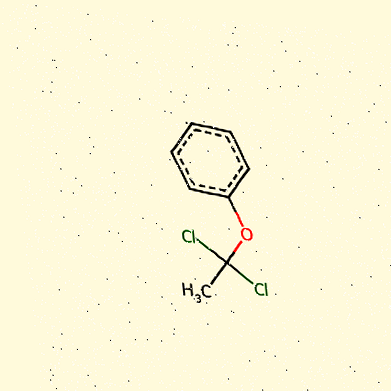 CC(Cl)(Cl)Oc1cc[c]cc1